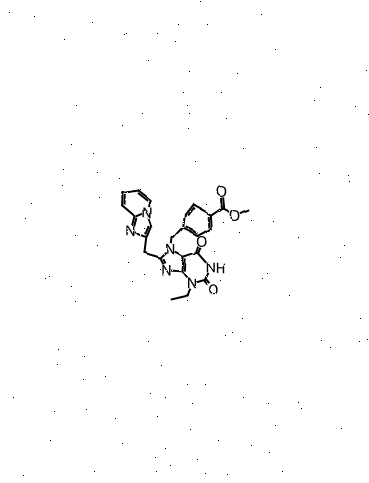 CCn1c(=O)[nH]c(=O)c2c1nc(Cc1cn3ccccc3n1)n2Cc1ccc(C(=O)OC)cc1